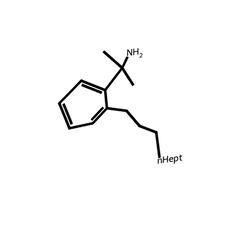 CCCCCCCCCCc1ccccc1C(C)(C)N